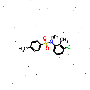 CCCN(c1cccc(Cl)c1C)S(=O)(=O)c1ccc(C)cc1